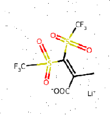 CC(C(=O)[O-])=C(S(=O)(=O)C(F)(F)F)S(=O)(=O)C(F)(F)F.[Li+]